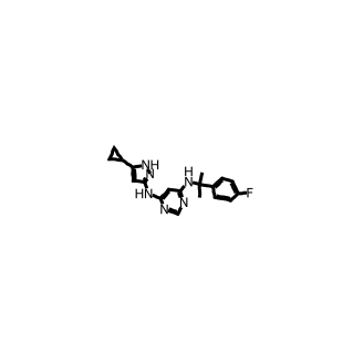 CC(C)(Nc1cc(Nc2cc(C3CC3)[nH]n2)ncn1)c1ccc(F)cc1